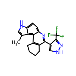 Cc1c[nH]c2ccc3nc(-c4c[nH]nc4C(F)(F)F)c4c(c3c12)CCCC4